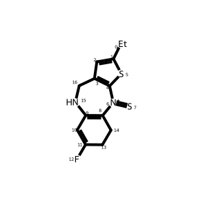 CCc1cc2c(s1)[N+](=S)C1=C(C=C(F)CC1)NC2